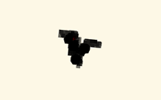 COc1ccc(CN(c2cccc(F)n2)S(=O)(=O)c2cc(Cl)c(C3CCC(C#N)(O[Si](C)(C)C)C3)cc2F)cc1